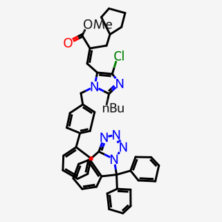 CCCCc1nc(Cl)c(C=C(CC2CCCC2)C(=O)OC)n1Cc1ccc(-c2ccccc2-c2nnnn2C(c2ccccc2)(c2ccccc2)c2ccccc2)cc1